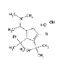 CCC(C)(C)C1=[C]([Ti])CC(C(C)N(C)C)=C1C(C)(C)CC.Cl.Cl